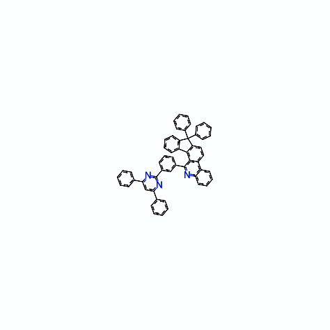 c1ccc(-c2cc(-c3ccccc3)nc(-c3cccc(-c4nc5ccccc5c5ccc6c(c45)-c4ccccc4C6(c4ccccc4)c4ccccc4)c3)n2)cc1